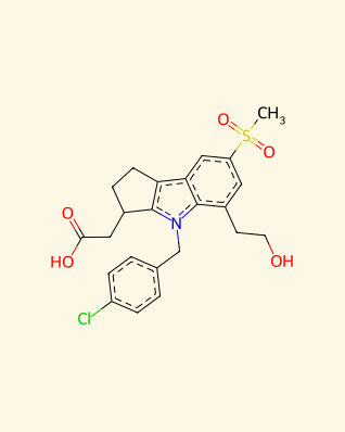 CS(=O)(=O)c1cc(CCO)c2c(c1)c1c(n2Cc2ccc(Cl)cc2)C(CC(=O)O)CC1